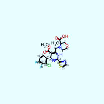 COC(=O)C1=C(CN2CCOC[C@]2(C)C(=O)O)NC(c2nccs2)=N[C@H]1c1ccc(F)c(F)c1Cl